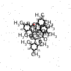 Cc1cc(C)c(C(=O)P(=O)(C(=O)c2c(C)cc(C)cc2C)[Si](C)(C)P(=O)(C(=O)c2c(C)cc(C)cc2C)C(=O)c2c(C)cc(C)cc2C)c(C)c1